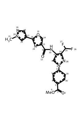 COC(=O)c1ccc(-n2cc(NC(=O)c3coc(-c4cnn(C)c4)n3)c(C(F)F)n2)cc1